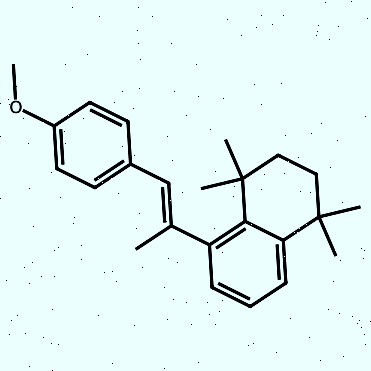 COc1ccc(C=C(C)c2cccc3c2C(C)(C)CCC3(C)C)cc1